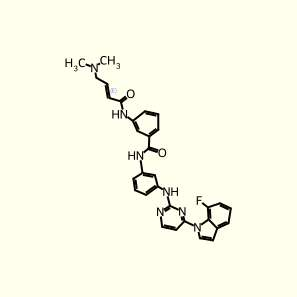 CN(C)C/C=C/C(=O)Nc1cccc(C(=O)Nc2cccc(Nc3nccc(-n4ccc5cccc(F)c54)n3)c2)c1